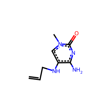 C=CCNc1cn(C)c(=O)nc1N